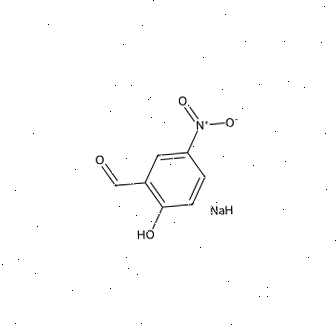 O=Cc1cc([N+](=O)[O-])ccc1O.[NaH]